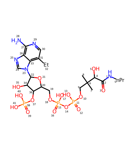 CCCNC(=O)C(O)C(C)(C)COP(=O)(O)OP(=O)(O)OCC1OC(n2cnc3c(N)ncc(CC)c32)C(O)C1OP(=O)(O)O